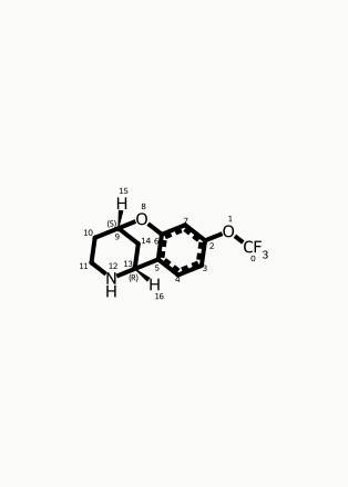 FC(F)(F)Oc1ccc2c(c1)O[C@H]1CCN[C@@H]2C1